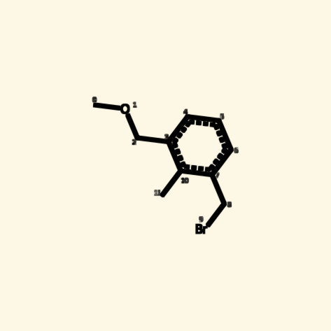 COCc1cccc(CBr)c1C